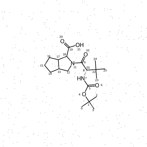 CC(C)(C)OC(=O)N[C@H](C(=O)N1CC2CCCC2C1C(=O)O)C(C)(C)C